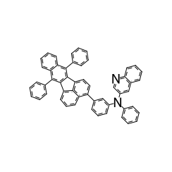 c1ccc(-c2c3c(c(-c4ccccc4)c4ccccc24)-c2ccc(-c4cccc(N(c5ccccc5)c5cnc6ccccc6c5)c4)c4cccc-3c24)cc1